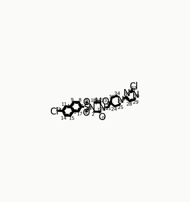 O=C1CN(S(=O)(=O)c2ccc3cc(Cl)ccc3c2)CCN1CC1(O)CCN(c2ccnc(Cl)n2)CC1